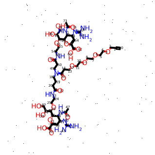 C#CCOCCOCCOCCOCCC(=O)N(CCCC(=O)NCCO[C@H]([C@H](O)CO)[C@@H]1OC(C(=O)O)=C[C@H](N=C(N)N)C1NC(C)=O)CCC(=O)NCCO[C@@H]([C@@H]1OC(C(=O)O)=C[C@H](N=C(N)N)[C@H]1NC(C)=O)[C@H](O)CO